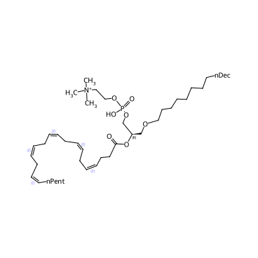 CCCCC/C=C\C/C=C\C/C=C\C/C=C\C/C=C\CCC(=O)O[C@H](COCCCCCCCCCCCCCCCCCC)COP(=O)(O)OCC[N+](C)(C)C